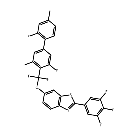 Cc1ccc(-c2cc(F)c(C(F)(F)Oc3ccc4nc(-c5cc(F)c(F)c(F)c5)sc4c3)c(F)c2)c(F)c1